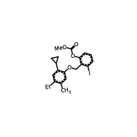 CCc1cc(C2CC2)c(OCc2c(I)cccc2OC(=O)OC)cc1C